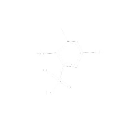 Cc1cc(O)cc(S(=O)(=O)O)c1O